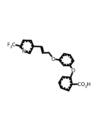 O=C(O)c1ccccc1Oc1cccc(OC/C=C/c2ccc(C(F)(F)F)nc2)c1